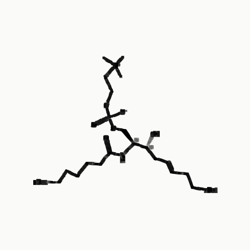 CCCCCCCCCCCCC=CC[C@@H](O)[C@H](COP(=O)([O-])OCC[N+](C)(C)C)NC(=O)CCCCCCCCCCCCCCC